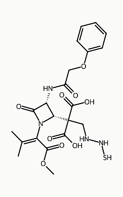 COC(=O)C(=C(C)C)N1C(=O)[C@H](NC(=O)COc2ccccc2)[C@@H]1C(CNNS)(C(=O)O)C(=O)O